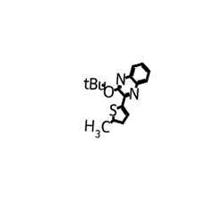 CC1CC=C(c2nc3ccccc3nc2OC(C)(C)C)S1